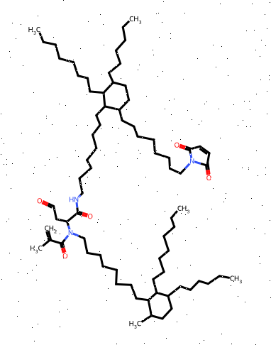 C=C(C)C(=O)N(CCCCCCCCC1C(C)CCC(CCCCCC)C1CCCCCCCC)C(CC=O)C(=O)NCCCCCCCCC1C(CCCCCCCCN2C(=O)C=CC2=O)CCC(CCCCCC)C1CCCCCCCC